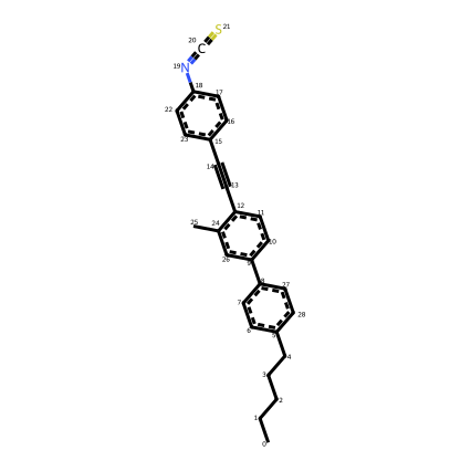 CCCCCc1ccc(-c2ccc(C#Cc3ccc(N=C=S)cc3)c(C)c2)cc1